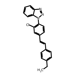 CCc1ccc(/C=C/c2ccc(-n3nnc4ccccc43)c(Cl)c2)cc1